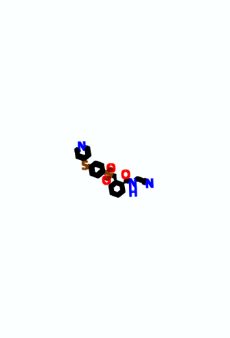 N#CCNC(=O)[C@@H]1CCCC[C@H]1CS(=O)(=O)c1ccc(Sc2ccncc2)cc1